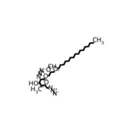 CCCCCCCCCCCCCCCCOCC(CO[C@@H]1OC(CN=[N+]=[N-])[C@H](C)[C@H](O)C1N=[N+]=[N-])OC